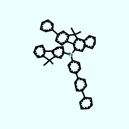 CC1(C)c2ccccc2-c2ccc(N(c3ccc(-c4ccc(-c5ccccc5)cc4)cc3)c3cc4ccccc4c4c3-c3ccc(-c5ccccc5)cc3C4(C)C)cc21